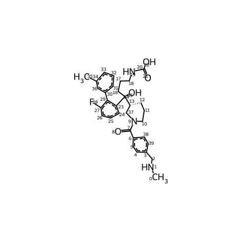 CNCc1ccc(C(=O)N2CCC[C@@H]([C@@](O)(CCCNC(=O)O)c3cccc(F)c3-c3cccc(C)c3)C2)cc1